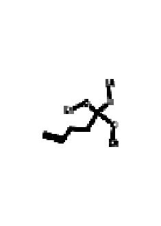 C=CCCC(OCC)(OCC)OCC